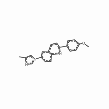 COc1ccc(-c2ccc3cc(-n4cnc(C)c4)ccc3n2)cc1